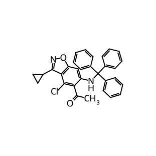 CC(=O)c1c(NC(c2ccccc2)(c2ccccc2)c2ccccc2)cc2onc(C3CC3)c2c1Cl